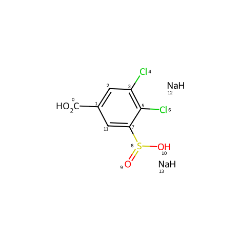 O=C(O)c1cc(Cl)c(Cl)c(S(=O)O)c1.[NaH].[NaH]